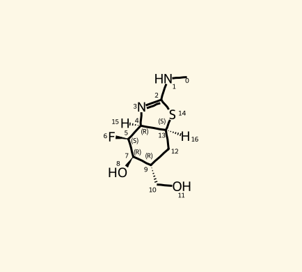 CNC1=N[C@@H]2[C@H](F)[C@H](O)[C@@H](CO)C[C@@H]2S1